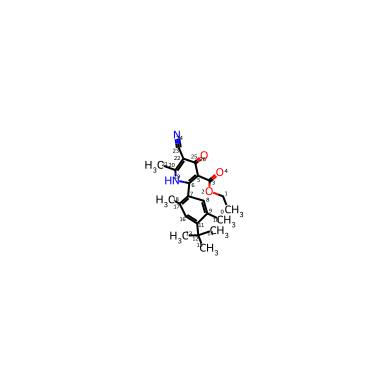 CCOC(=O)c1c(-c2cc(C)c(C(C)(C)C)cc2C)[nH]c(C)c(C#N)c1=O